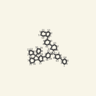 c1ccc(-c2ccc(N(c3ccc(-c4ccc5c(c4)C(c4ccccc4)(c4ccccc4)c4ccccc4-5)cc3)c3cccc(-c4cccc(-c5cccc6ccccc56)c4)c3)cc2)cc1